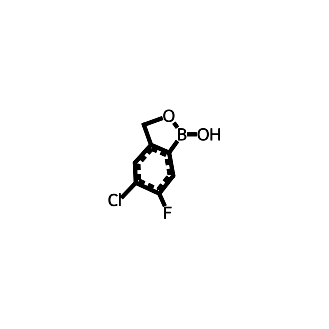 OB1OCc2cc(Cl)c(F)cc21